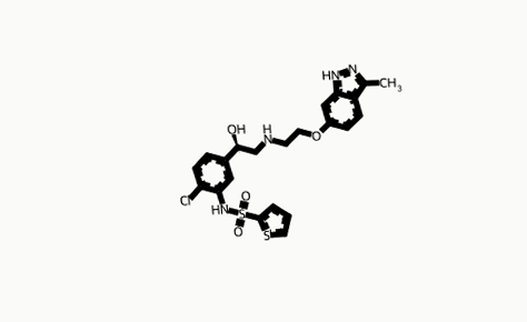 Cc1n[nH]c2cc(OCCNC[C@H](O)c3ccc(Cl)c(NS(=O)(=O)c4cccs4)c3)ccc12